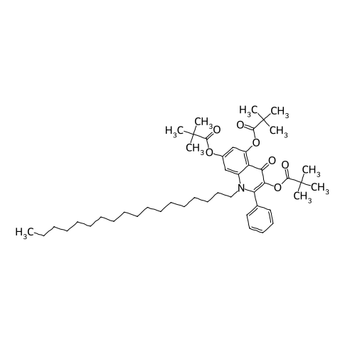 CCCCCCCCCCCCCCCCCCn1c(-c2ccccc2)c(OC(=O)C(C)(C)C)c(=O)c2c(OC(=O)C(C)(C)C)cc(OC(=O)C(C)(C)C)cc21